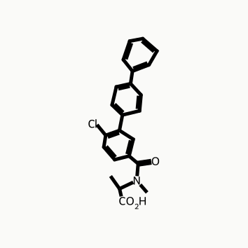 CC(C(=O)O)N(C)C(=O)c1ccc(Cl)c(-c2ccc(-c3ccccc3)cc2)c1